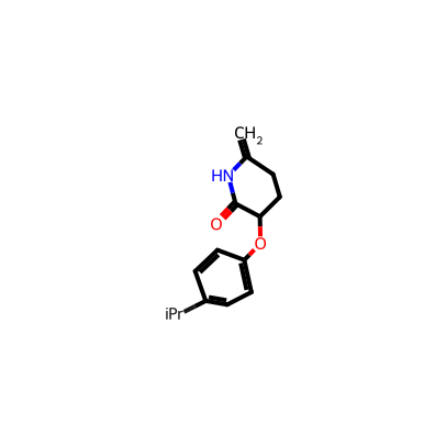 C=C1CCC(Oc2ccc(C(C)C)cc2)C(=O)N1